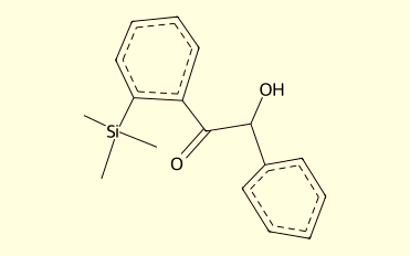 C[Si](C)(C)c1ccccc1C(=O)C(O)c1ccccc1